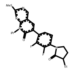 CCC1CCN(c2ccc(-c3cc4cnc(SC)nc4n(C(C)C)c3=O)c(F)c2F)C1=O